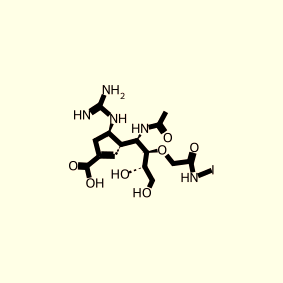 CC(=O)N[C@@H]([C@@H]1C=C(C(=O)O)C[C@H]1NC(=N)N)[C@@H](OCC(=O)NI)[C@@H](O)CO